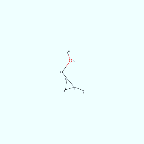 CO[CH]C1CC1C